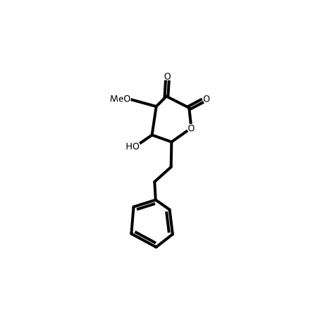 COC1C(=O)C(=O)OC(CCc2ccccc2)C1O